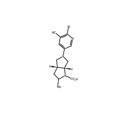 CC(C)(C)C1C[C@@H]2CN(c3cnc(Br)c(C#N)c3)C[C@@H]2N1C(=O)O